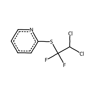 FC(F)(Sc1ccccn1)C(Cl)Cl